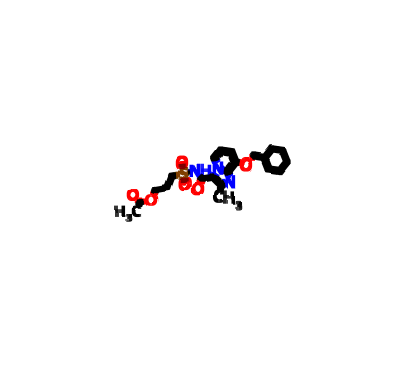 CC(=O)OCCCS(=O)(=O)NC(=O)c1c(C)nc2c(OCC3CCCCC3)cccn12